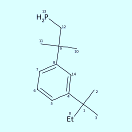 CCC(C)(C)c1cccc(C(C)(C)CP)c1